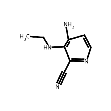 CCNc1c(N)ccnc1C#N